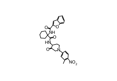 Cc1cc(N2CCC(NC(=O)C3(NC(=O)c4cc5ccccc5o4)CCCCC3)C(=O)C2)ccc1[N+](=O)[O-]